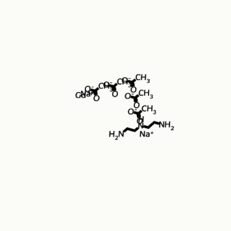 CC(=O)[O-].CC(=O)[O-].CC(=O)[O-].CC(=O)[O-].CC(=O)[O-].NCCNCCN.[Gd+3].[Na+].[Na+]